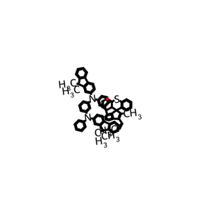 C/C=C\C1=C(C)C2(c3ccccc3SC3=CC=CCC32)c2c1cccc2-c1cccc(N(c2cccc(N(c3ccccc3)c3ccc4c(c3)C(C)(C)c3ccccc3-4)c2)c2ccc3c(c2)C(C)(C)c2ccccc2-3)c1